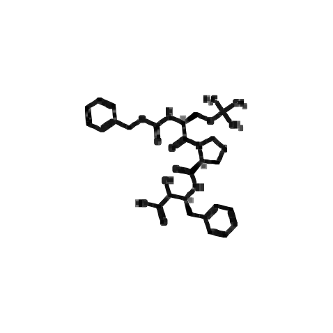 CC(C)(C)OC[C@H](NC(=O)OCc1ccccc1)C(=O)N1CSC[C@H]1C(=O)N[C@@H](Cc1ccccc1)C(O)C(=O)O